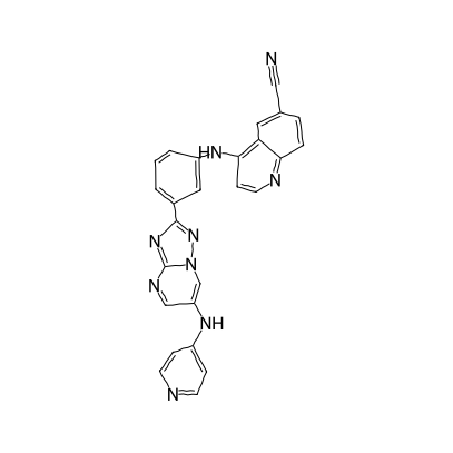 N#Cc1ccc2nccc(Nc3cccc(-c4nc5ncc(Nc6ccncc6)cn5n4)c3)c2c1